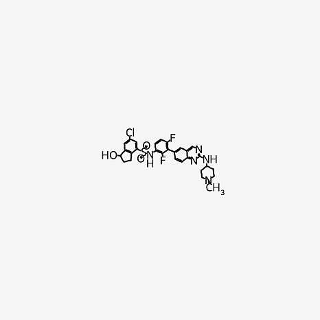 CN1CCC(Nc2ncc3cc(-c4c(F)ccc(NS(=O)(=O)c5cc(Cl)cc6c5CCC6O)c4F)ccc3n2)CC1